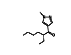 CCCCC(CC)C(=O)c1cnn(C)c1